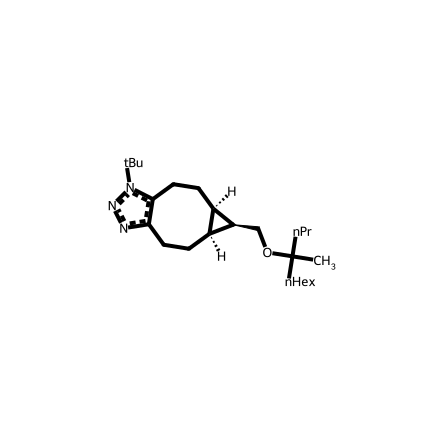 CCCCCCC(C)(CCC)OC[C@@H]1[C@@H]2CCc3c(nnn3C(C)(C)C)CC[C@@H]21